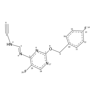 C#CN/C=N/c1nc(OCc2ccc(F)cc2)ncc1F